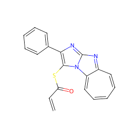 C=CC(=O)Sc1c(-c2ccccc2)nc2nc3cccccc3n12